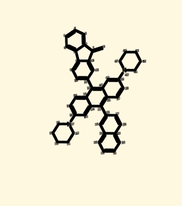 C=C1c2ccccc2-c2ccc(-c3c4ccc(N5CCCCC5)cc4c(-c4ccc5ccccc5c4)c4ccc(N5CCCCC5)cc34)cc21